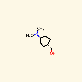 CN(C)[C@H]1CC[C@H](CO)CC1